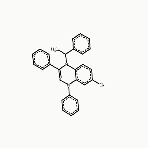 CC(c1ccccc1)N1C(c2ccccc2)=NN(c2ccccc2)c2cc(C#N)ccc21